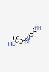 Cc1cc(-c2cn(-c3ccc(C4=CCNCC4)cc3)nn2)ccc1C1=CCNCC1